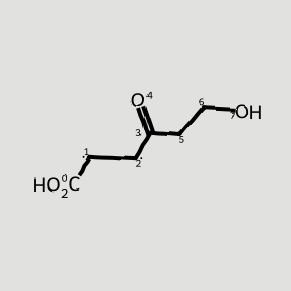 O=C(O)[CH][CH]C(=O)CCO